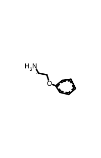 N[CH]COc1ccccc1